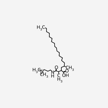 CCCCCCCCCCCCCCCCC(C)CC(C(=O)O)C(C)C(=O)NCCCN(C)C